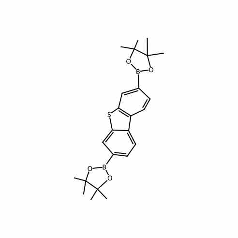 CC1(C)OB(c2ccc3c(c2)sc2cc(B4OC(C)(C)C(C)(C)O4)ccc23)OC1(C)C